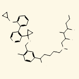 CC(=O)N(CCCCC(C)c1ccc(Cl)c(CNC2(c3cnccc3-c3ccccc3OC3CC3)CC2)c1)CC(O)C(O)C(O)CCO